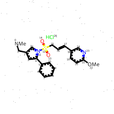 CNCc1cc(-c2ccccc2)n(S(=O)(=O)CC=Cc2ccc(OC)nc2)c1.Cl